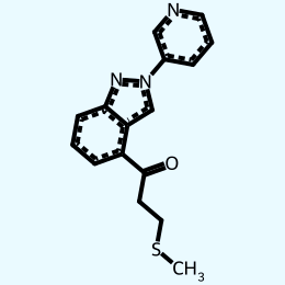 CSCCC(=O)c1cccc2nn(-c3cccnc3)cc12